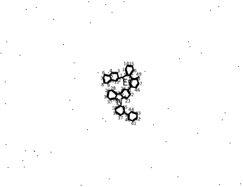 CCC(c1ccc2ccccc2c1)c1ccccc1-c1cc(-c2ccc3c(c2)c2ccccc2n3-c2cccc(-c3ccccc3)c2)ccc1C